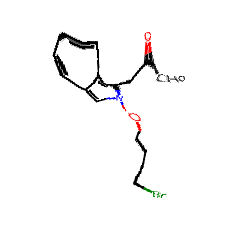 O=CC(=O)c1c2ccccc2cn1OCCCBr